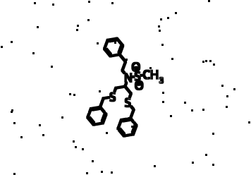 CS(=O)(=O)N(CCc1ccccc1)C(CSCc1ccccc1)CSCc1ccccc1